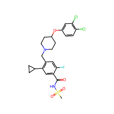 CS(=O)(=O)NC(=O)c1cc(C2CC2)c(CN2CCC(Oc3ccc(Cl)c(Cl)c3)CC2)cc1F